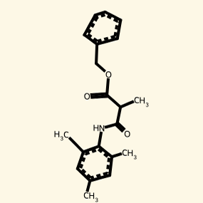 Cc1cc(C)c(NC(=O)C(C)C(=O)OCc2ccccc2)c(C)c1